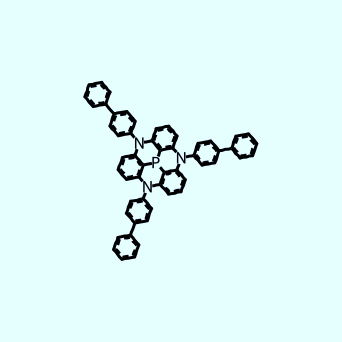 c1ccc(-c2ccc(N3c4cccc5c4P4c6c3cccc6N(c3ccc(-c6ccccc6)cc3)c3cccc(c34)N5c3ccc(-c4ccccc4)cc3)cc2)cc1